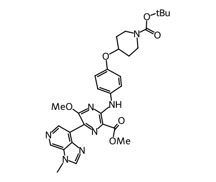 COC(=O)c1nc(-c2cncc3c2ncn3C)c(OC)nc1Nc1ccc(OC2CCN(C(=O)OC(C)(C)C)CC2)cc1